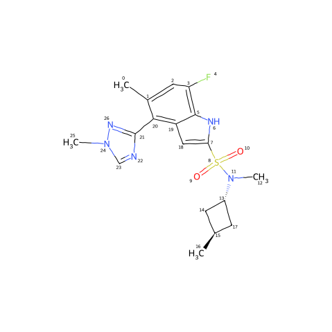 Cc1cc(F)c2[nH]c(S(=O)(=O)N(C)[C@H]3C[C@H](C)C3)cc2c1-c1ncn(C)n1